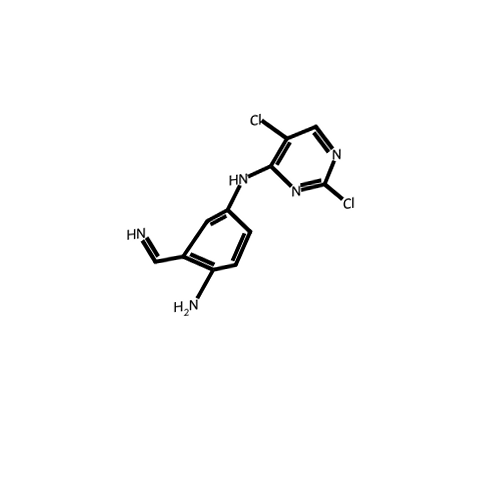 N=Cc1cc(Nc2nc(Cl)ncc2Cl)ccc1N